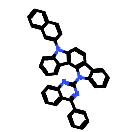 c1ccc(-c2nc(-n3c4ccccc4c4ccc5c(c6ccccc6n5-c5ccc6ccccc6c5)c43)nc3ccccc23)cc1